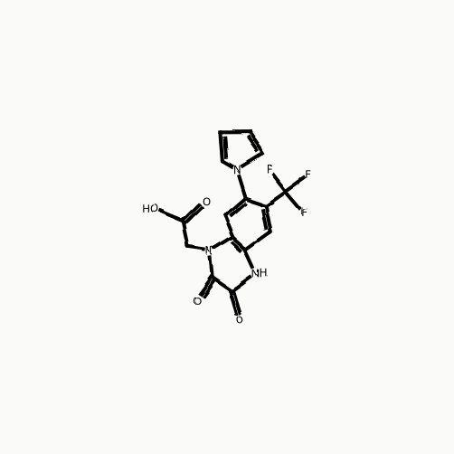 O=C(O)Cn1c(=O)c(=O)[nH]c2cc(C(F)(F)F)c(-n3cccc3)cc21